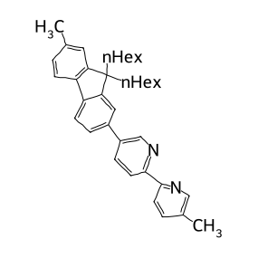 CCCCCCC1(CCCCCC)c2cc(C)ccc2-c2ccc(-c3ccc(-c4ccc(C)cn4)nc3)cc21